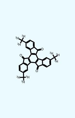 [2H]C([2H])([2H])c1ccc2c(=O)c3c(c2c1)c1c(=O)c2ccc(C([2H])([2H])[2H])cc2c1c1c(=O)c2ccc(C([2H])([2H])[2H])cc2c31